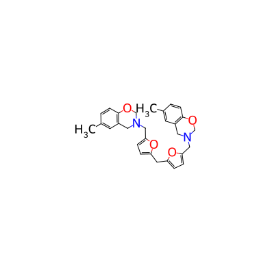 Cc1ccc2c(c1)CN(Cc1ccc(Cc3ccc(CN4COc5ccc(C)cc5C4)o3)o1)CO2